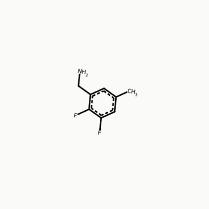 Cc1cc(F)c(F)c(CN)c1